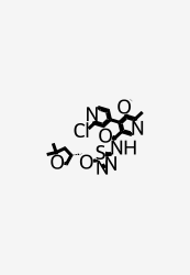 COc1c(C)ncc(C(=O)Nc2nnc(OC[C@@H]3COC(C)(C)C3)s2)c1-c1ccnc(Cl)c1